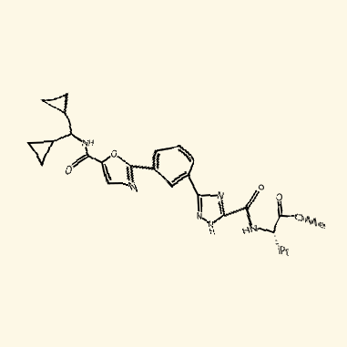 COC(=O)[C@@H](NC(=O)c1nc(-c2cccc(-c3ncc(C(=O)NC(C4CC4)C4CC4)o3)c2)n[nH]1)C(C)C